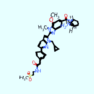 COc1cc(C(=O)N2C[C@H]3CC[C@@H]2[C@@H]3N)cc2nc(-c3cc4ccc(-c5ccc(CC(=O)NCCS(C)(=O)=O)cc5)nc4n3CC3CC3)n(C)c12